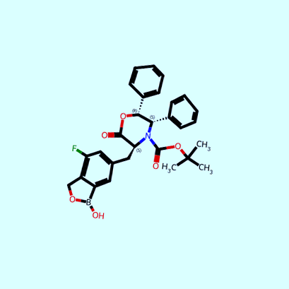 CC(C)(C)OC(=O)N1[C@@H](Cc2cc(F)c3c(c2)B(O)OC3)C(=O)O[C@H](c2ccccc2)[C@@H]1c1ccccc1